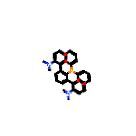 CN(C)c1ccccc1-c1cccc(-c2ccccc2N(C)C)c1P(c1ccccc1)c1ccccc1